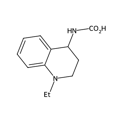 CCN1CCC(NC(=O)O)c2ccccc21